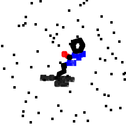 CO[Si](CCCNC(=O)n1nnc2ccccc21)(OC)OC